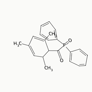 CC1=CC(C)C(C(=O)P(=O)(c2ccccc2)c2ccccc2)C(C)=C1